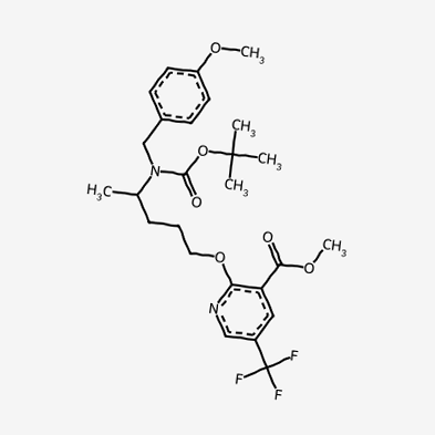 COC(=O)c1cc(C(F)(F)F)cnc1OCCCC(C)N(Cc1ccc(OC)cc1)C(=O)OC(C)(C)C